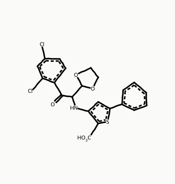 O=C(O)c1sc(-c2ccccc2)cc1NC(C(=O)c1ccc(Cl)cc1Cl)C1OCCO1